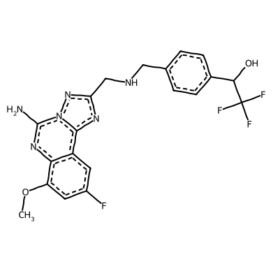 COc1cc(F)cc2c1nc(N)n1nc(CNCc3ccc(C(O)C(F)(F)F)cc3)nc21